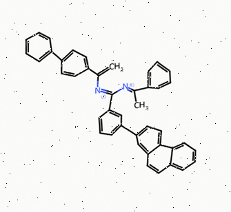 C=C(/N=C(\N=C(/C)c1ccccc1)c1cccc(-c2ccc3c(ccc4ccccc43)c2)c1)c1ccc(-c2ccccc2)cc1